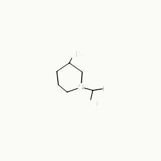 CC(I)N1CCCC(C(C)(C)C)C1